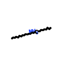 CCCCCCCCCCCCCCCCCCCCCCCCCC.N